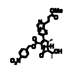 COC(=O)/C=C/c1ncn2cc(C3=C(C(=O)OCc4ccc([N+](=O)[O-])cc4)N4C(=O)[C@H]([C@@H](C)O)[C@H]4[C@H]3C)sc12